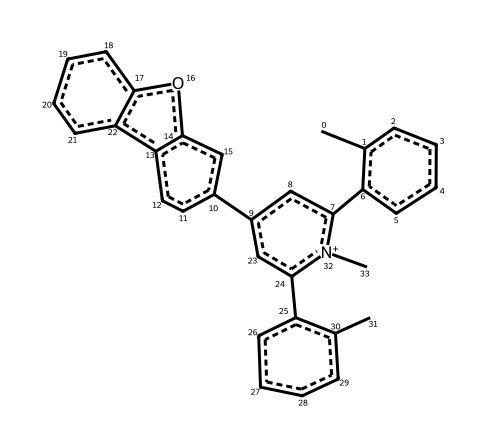 Cc1ccccc1-c1cc(-c2ccc3c(c2)oc2ccccc23)cc(-c2ccccc2C)[n+]1C